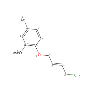 COc1cc(C(C)=O)ccc1OCC=CCCl